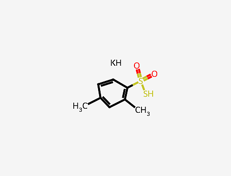 Cc1ccc(S(=O)(=O)S)c(C)c1.[KH]